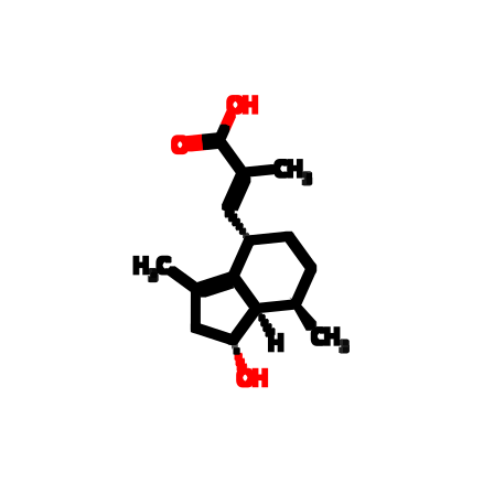 CC1=C2[C@@H]([C@H](C)CC[C@H]2/C=C(\C)C(=O)O)[C@H](O)C1